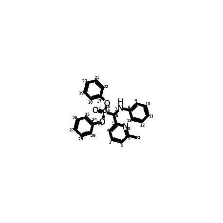 Cc1cccc(C(Nc2ccccc2)P(=O)(Oc2ccccc2)Oc2ccccc2)n1